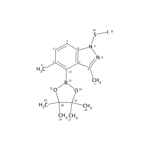 Cc1ccc2c(c(C)nn2SI)c1B1OC(C)(C)C(C)(C)O1